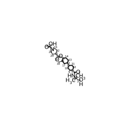 CC(C)(CO)NC(=O)c1ccc(-c2ccc3c(c2)COC(C2CCN(C(=O)O)CC2)O3)cc1